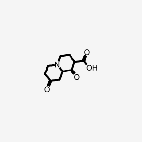 O=C1CCN2CCC(C(=O)O)C(=O)C2C1